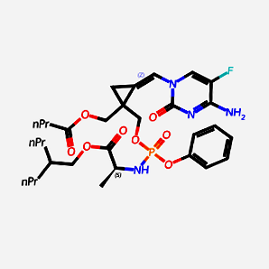 CCCC(=O)OCC1(COP(=O)(N[C@@H](C)C(=O)OCC(CCC)CCC)Oc2ccccc2)C/C1=C/n1cc(F)c(N)nc1=O